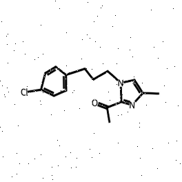 CC(=O)c1nc(C)cn1CCCc1ccc(Cl)cc1